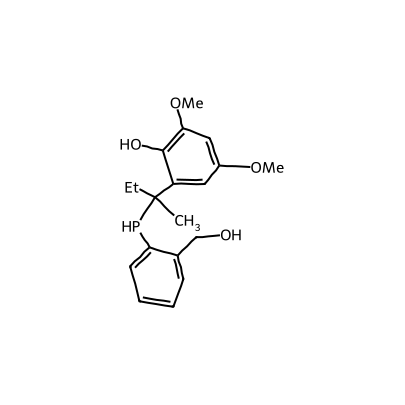 CCC(C)(Pc1ccccc1CO)c1cc(OC)cc(OC)c1O